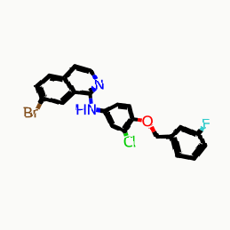 Fc1cccc(COc2ccc(Nc3nccc4ccc(Br)cc34)cc2Cl)c1